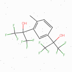 Cc1ccc(C(O)(C(F)(F)F)C(F)(F)F)cc1C(O)(C(F)(F)F)C(F)(F)F